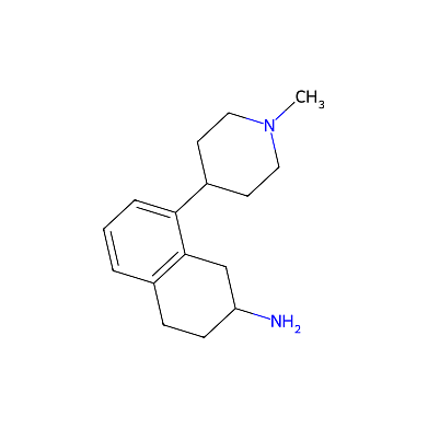 CN1CCC(c2cccc3c2CC(N)CC3)CC1